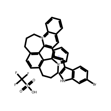 Brc1ccc2c(/C=C/c3cc4ccccc4[n+]4c3-c3c(ccc5c3-c3cccc[n+]3CCC5)CCC4)c[nH]c2c1.O=S(=O)(O)C(F)(F)F